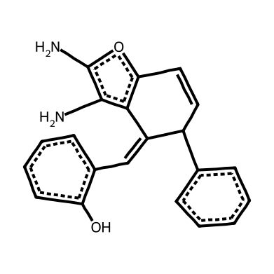 Nc1oc2c(c1N)C(=Cc1ccccc1O)C(c1ccccc1)C=C2